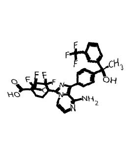 C[C@@](O)(c1ccc(-c2nc(C34CCC(C(=O)O)(CC3(F)F)C(F)(F)C4)n3ccnc(N)c23)cc1)c1cccc(C(F)(F)F)c1